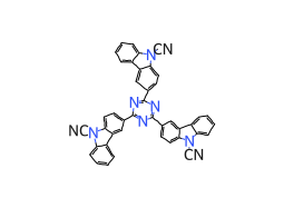 N#Cn1c2ccccc2c2cc(-c3nc(-c4ccc5c(c4)c4ccccc4n5C#N)nc(-c4ccc5c(c4)c4ccccc4n5C#N)n3)ccc21